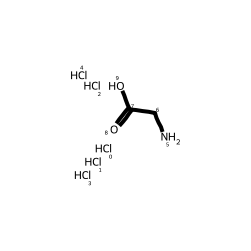 Cl.Cl.Cl.Cl.Cl.NCC(=O)O